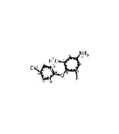 Cc1cc(N)cc(F)c1Oc1ncc(Cl)cn1